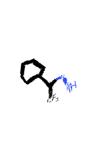 N=NC(c1ccccc1)C(F)(F)F